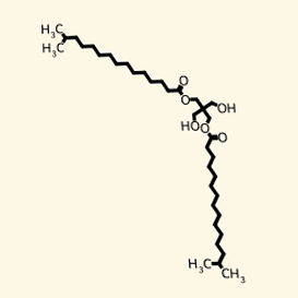 CC(C)CCCCCCCCCCCCC(=O)OCC(CO)(CO)COC(=O)CCCCCCCCCCCCC(C)C